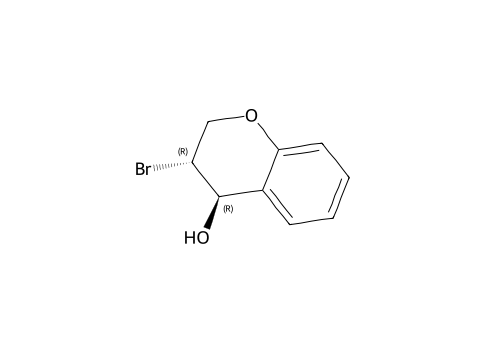 O[C@@H]1c2ccccc2OC[C@H]1Br